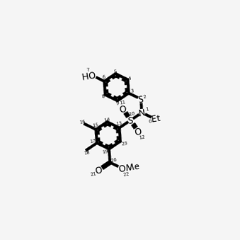 CCN(Sc1ccc(O)cc1)S(=O)(=O)c1cc(C)c(C)c(C(=O)OC)c1